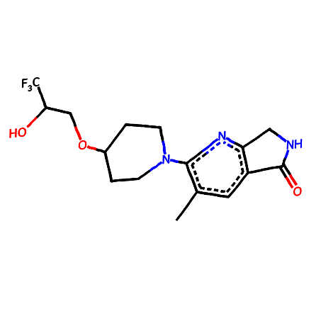 Cc1cc2c(nc1N1CCC(OCC(O)C(F)(F)F)CC1)CNC2=O